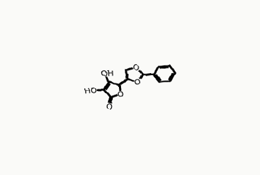 O=C1OC(C2COC(c3ccccc3)O2)C(O)=C1O